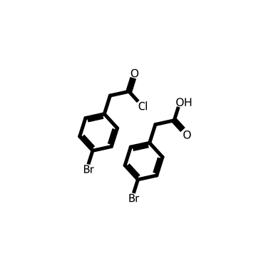 O=C(Cl)Cc1ccc(Br)cc1.O=C(O)Cc1ccc(Br)cc1